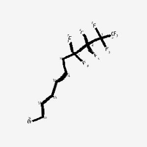 FC(F)(F)C(F)(F)C(F)(F)C(F)(F)CCCCCCBr